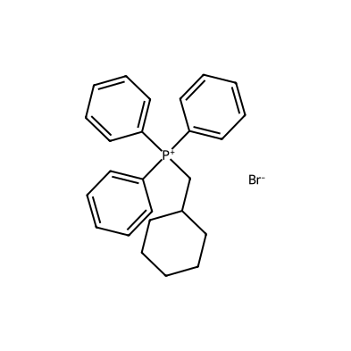 [Br-].c1ccc([P+](CC2CCCCC2)(c2ccccc2)c2ccccc2)cc1